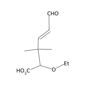 CCOC(C(=O)O)C(C)(C)C=CC=O